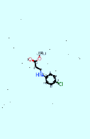 CC(C)(C)OC(=O)CCNc1ccc(Cl)cc1